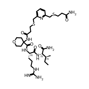 CC[C@H](C)[C@H](NC(=O)[C@H](CCCNC(=N)N)NC(=O)C1(NC(=O)CCSCc2cccc(CSCCC(N)=O)n2)CCOCC1)C(N)=O